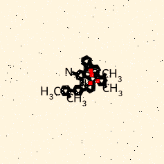 Cc1ccc(-c2ccc3c4ccccc4n(-c4cc(C#N)cc(-n5c6ccccc6c6ccc(-c7ccc(C)cc7C)cc65)c4-c4ccccc4C(F)(F)F)c3c2)c(C)c1